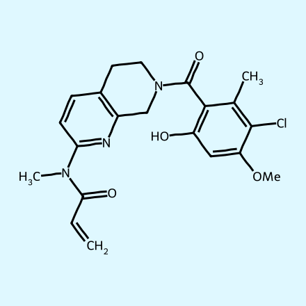 C=CC(=O)N(C)c1ccc2c(n1)CN(C(=O)c1c(O)cc(OC)c(Cl)c1C)CC2